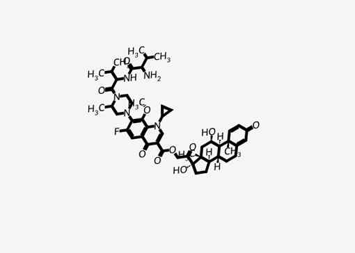 COc1c(N2CCN(C(=O)C(NC(=O)C(N)C(C)C)C(C)C)C(C)C2)c(F)cc2c(=O)c(C(=O)OCC(=O)[C@]3(O)CC[C@@H]4[C@H]5CCC6=CC(=O)C=C[C@@]6(C)[C@@H]5[C@H](O)C[C@]43C)cn(C3CC3)c12